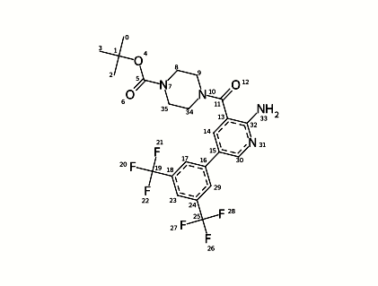 CC(C)(C)OC(=O)N1CCN(C(=O)c2cc(-c3cc(C(F)(F)F)cc(C(F)(F)F)c3)cnc2N)CC1